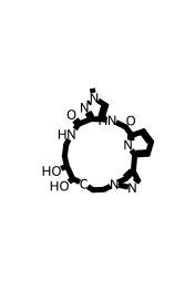 Cn1cc2c(n1)C(=O)NCCC(O)C(O)CCCn1cc(cn1)-c1cccc(n1)C(=O)N2